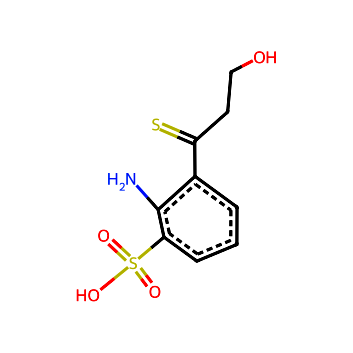 Nc1c(C(=S)CCO)cccc1S(=O)(=O)O